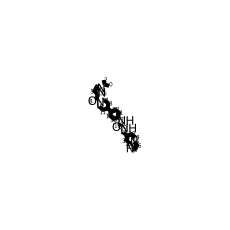 CC(C)n1ccc(C(=O)N2CCC(c3ccc(NC(=O)NCc4ccn5ccnc5c4)cc3)CC2)n1